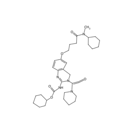 CN(C(=O)CCCOc1ccc2c(c1)CN(C(=C=O)N1CCCCC1)C(NC(=O)OC1CCCCC1)=N2)C1CCCCC1